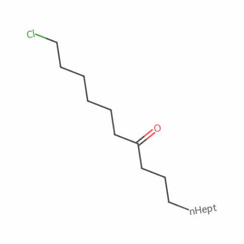 CCCCCCCCCCC(=O)CCCCCCCl